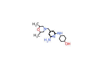 CC1CN(Cc2cc(N)nc(N[C@H]3CC[C@H](O)CC3)c2)CC(C)O1